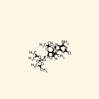 CC(C)OP(=O)(OC[C@H]1O[C@@H]2C3(COC(C)(C)OC13)C2(C)n1cnc2c(N)nc(Cl)nc21)OC(C)C